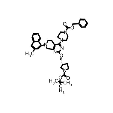 Cc1cc(N2CCc3c(nc(OC[C@@H]4CCN(C(=O)OC(C)(C)C)C4)nc3N3CCN(C(=O)OCc4ccccc4)CC3)C2)c2ccccc2c1